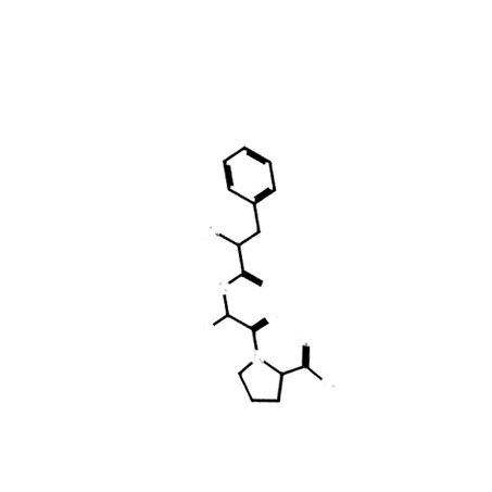 CC(NC(=O)C(N)Cc1ccccc1)C(=O)N1CCCC1C(=O)O